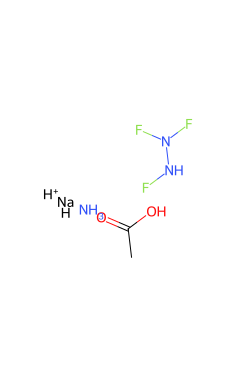 CC(=O)O.FNN(F)F.N.[H+].[NaH]